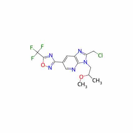 COC(C)Cn1c(CCl)nc2cc(-c3noc(C(F)(F)F)n3)cnc21